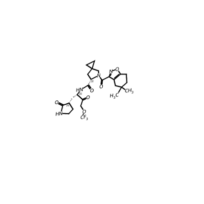 CC1(C)CCc2onc(C(=O)N3CC4(CC4)C[C@H]3C(=O)N[C@@H](C[C@@H]3CCNC3=O)C(=O)COC(F)(F)F)c2C1